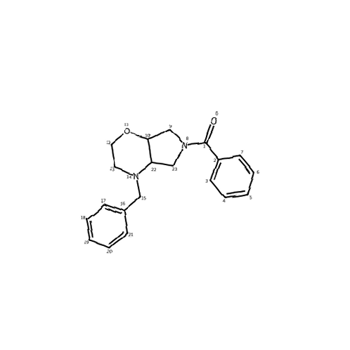 O=C(c1ccccc1)N1CC2OCCN(Cc3ccccc3)C2C1